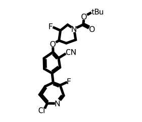 CC(C)(C)OC(=O)N1CCC(Oc2ccc(C3=C(F)C=NC(Cl)=C=C3)cc2C#N)C(F)C1